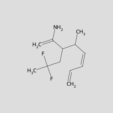 C=C/C=C\C(C)C(CC(C)(F)F)C(=C)N